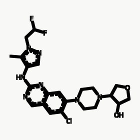 Cc1c(Nc2ncc3cc(Cl)c(N4CCN(C5COCC5O)CC4)cc3n2)cnn1CC(F)F